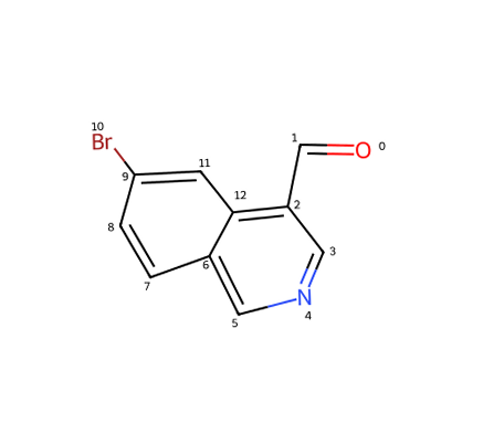 O=Cc1cncc2ccc(Br)cc12